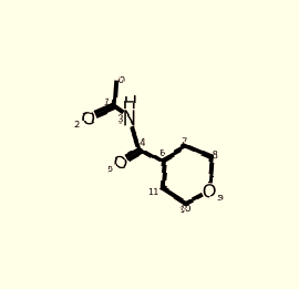 CC(=O)NC(=O)C1CCOCC1